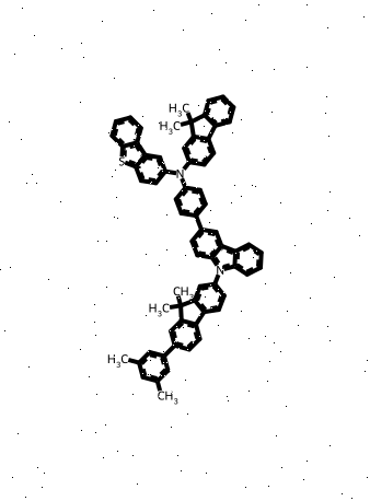 Cc1cc(C)cc(-c2ccc3c(c2)C(C)(C)c2cc(-n4c5ccccc5c5cc(-c6ccc(N(c7ccc8c(c7)C(C)(C)c7ccccc7-8)c7ccc8sc9ccccc9c8c7)cc6)ccc54)ccc2-3)c1